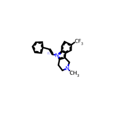 CN1CCc2c(c3cc(C(F)(F)F)ccc3n2/C=C/c2ccccc2)C1